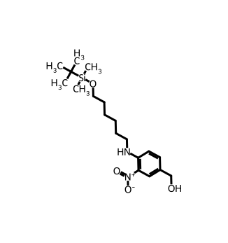 CC(C)(C)[Si](C)(C)OCCCCCCNc1ccc(CO)cc1[N+](=O)[O-]